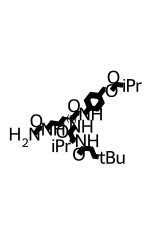 CC(C)C(=O)OCc1ccc(NC(=O)[C@H](CCCNC(N)=O)NC(=O)C(NC(=O)CCC(C)(C)C)C(C)C)cc1